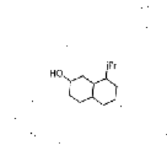 [CH2]C(C)C1CCCC2CCC(O)CC21